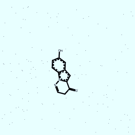 O=C1CC=Nn2c1cc1cc(O)ccc12